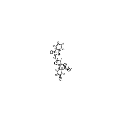 O=C1C(=Cc2ccc(-c3ccc(Cl)cc3[N+](=O)[O-])o2)Sc2ccccc21